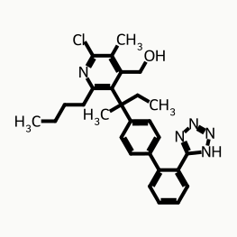 CCCCc1nc(Cl)c(C)c(CO)c1C(C)(CC)c1ccc(-c2ccccc2-c2nnn[nH]2)cc1